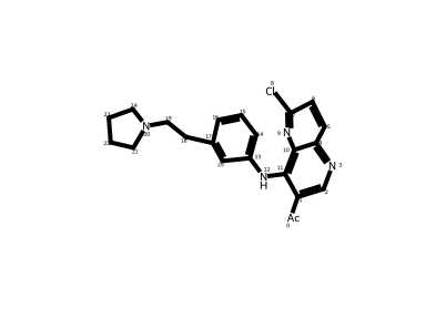 CC(=O)c1cnc2ccc(Cl)nc2c1Nc1cccc(CCN2CCCC2)c1